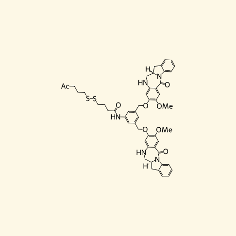 COc1cc2c(cc1OCc1cc(COc3cc4c(cc3OC)C(=O)N3c5ccccc5C[C@H]3CN4)cc(NC(=O)CCCSSCCCC(C)=O)c1)NC[C@@H]1Cc3ccccc3N1C2=O